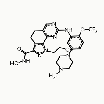 CN1CCN(c2ccc(OC(F)(F)F)c(Nc3ncc4c(n3)-c3c(c(C(=O)NO)nn3CCO)CC4)c2)CC1